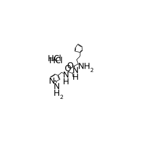 CC(NC(=O)C(N)CCc1ccccc1)C(=O)NCc1ccnc(N)c1.Cl.Cl